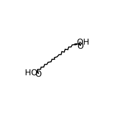 O=C(O)C#CCCCCCCCCCCCCCCCCCCCCCC(=O)O